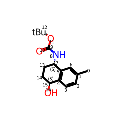 Cc1ccc2c(c1)[C@@H](NC(=O)OC(C)(C)C)CC[C@@H]2O